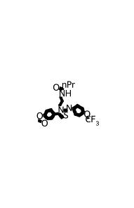 CCCC(=O)NCCCn1c(-c2ccc3c(c2)OCO3)cs/c1=N\c1ccc(OC(F)(F)F)cc1